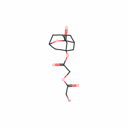 O=C(CBr)OCC(=O)OC12CC3CC(C1)OC(=O)C(C3)C2